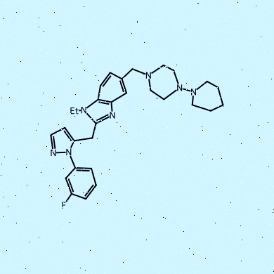 CCn1c(Cc2ccnn2-c2cccc(F)c2)nc2cc(CN3CCN(N4CCCCC4)CC3)ccc21